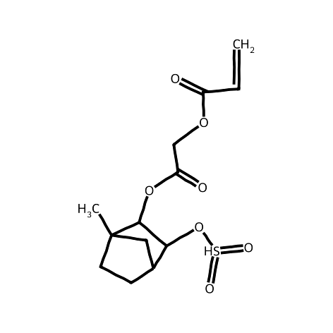 C=CC(=O)OCC(=O)OC1C(O[SH](=O)=O)C2CCC1(C)C2